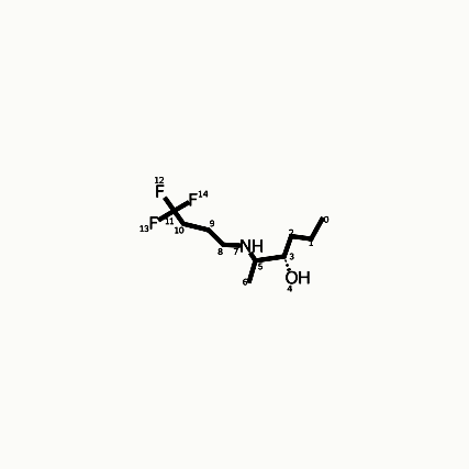 CCC[C@H](O)C(C)NCCCC(F)(F)F